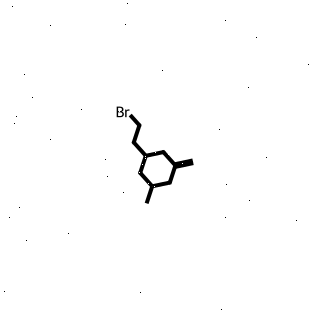 C=C1CC(C)CC(CCBr)C1